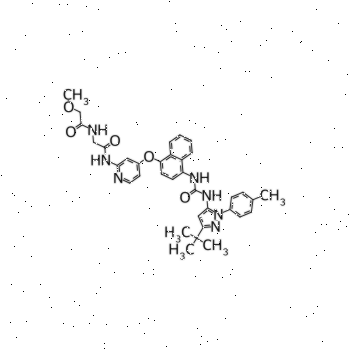 COCC(=O)NCC(=O)Nc1cc(Oc2ccc(NC(=O)Nc3cc(C(C)(C)C)nn3-c3ccc(C)cc3)c3ccccc23)ccn1